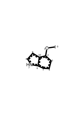 IOc1cccc2[nH]ccc12